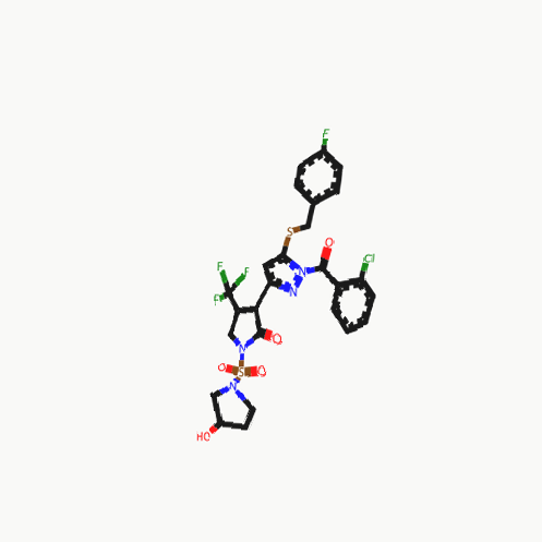 O=C1C(c2cc(SCc3ccc(F)cc3)n(C(=O)c3ccccc3Cl)n2)C(C(F)(F)F)CN1S(=O)(=O)N1CCC(O)C1